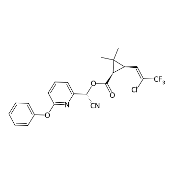 CC1(C)[C@H](C(=O)O[C@H](C#N)c2cccc(Oc3ccccc3)n2)[C@@H]1C=C(Cl)C(F)(F)F